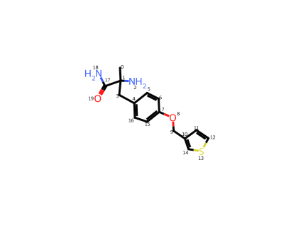 CC(N)(Cc1ccc(OCc2ccsc2)cc1)C(N)=O